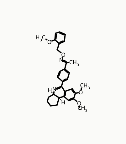 COc1ccccc1CON=C(C)c1ccc(C2=N[C@@H]3CCCC[C@@H]3c3cc(OC)c(OC)cc32)cc1